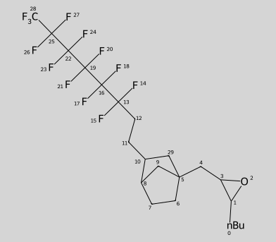 CCCCC1OC1CC12CCC(C1)C(CCC(F)(F)C(F)(F)C(F)(F)C(F)(F)C(F)(F)C(F)(F)F)C2